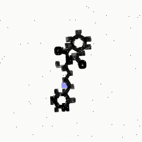 C[C@@H](C/C=C/c1cncnc1)N1C(=O)c2ccccc2C1=O